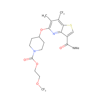 CNC(=O)c1csc2c(C(F)(F)F)c(C)c(OC3CCN(C(=O)OCCOC(F)(F)F)CC3)nc12